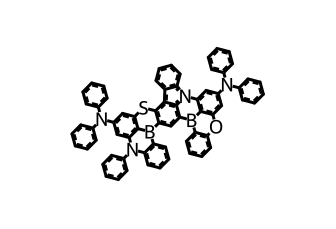 c1ccc(N(c2ccccc2)c2cc3c4c(c2)N(c2ccccc2)c2ccccc2B4c2cc4c5c(c2S3)c2ccccc2n5-c2cc(N(c3ccccc3)c3ccccc3)cc3c2B4c2ccccc2O3)cc1